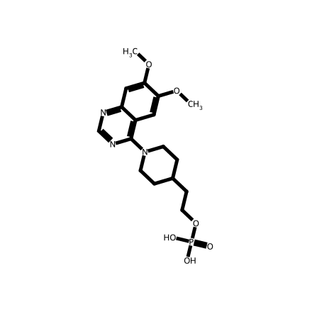 COc1cc2ncnc(N3CCC(CCOP(=O)(O)O)CC3)c2cc1OC